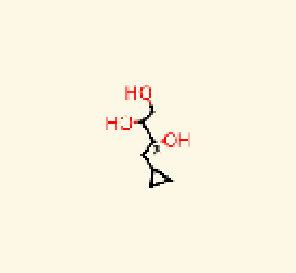 OCC(O)[C@H](O)CC1CC1